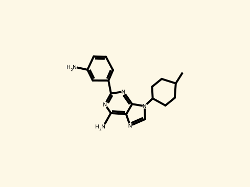 CC1CCC(n2cnc3c(N)nc(-c4cccc(N)c4)nc32)CC1